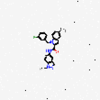 Cn1ncc2cc(NC(=O)c3cc4cc(C(F)(F)F)ccc4n3Cc3cccc(F)c3)ccc21